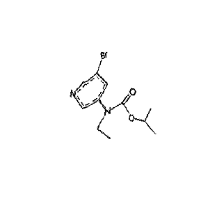 CCN(C(=O)OC(C)C)c1cncc(Br)c1